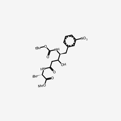 CCC(C)[C@H](NC(=O)CC(O)[C@H](Cc1cccc([N+](=O)[O-])c1)NC(=O)OC(C)(C)C)C(=O)OC